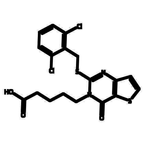 O=C(O)CCCCn1c(SCc2c(Cl)cccc2Cl)nc2ccsc2c1=O